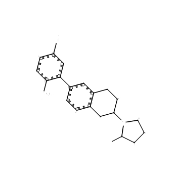 COc1ccc(C(C)C)cc1-c1ccc2c(c1)CCC(N1CCCC1C)C2